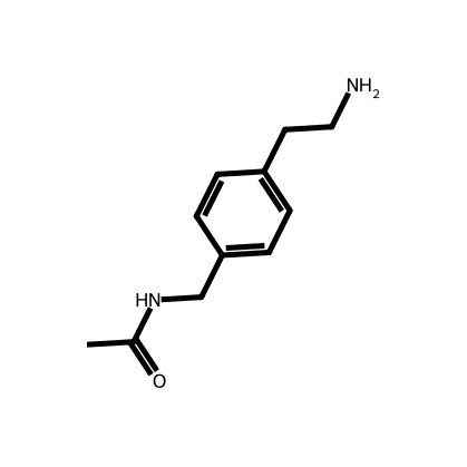 CC(=O)NCc1ccc(CCN)cc1